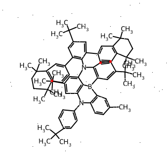 Cc1ccc2c(c1)B1c3cc(C(C)(C)C)ccc3N(c3c(-c4ccc5c(c4)C(C)(C)CCC5(C)C)cc(C(C)(C)C)cc3-c3ccc4c(c3)C(C)(C)CCC4(C)C)c3cc(C(C)(C)C)cc(c31)N2c1ccc(C(C)(C)C)cc1